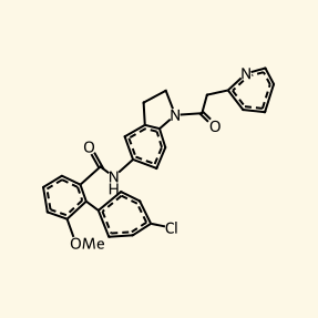 COc1cccc(C(=O)Nc2ccc3c(c2)CCN3C(=O)Cc2ccccn2)c1-c1ccc(Cl)cc1